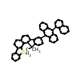 CC1(C)c2ccc(-c3c4ccccc4c(-c4cccc5ccccc45)c4ccccc34)cc2-c2ccc3ccc4c5ccccc5sc4c3c21